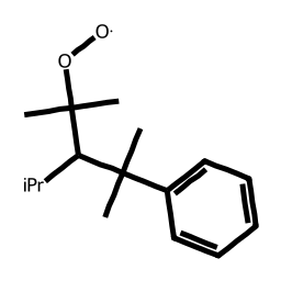 CC(C)C(C(C)(C)O[O])C(C)(C)c1ccccc1